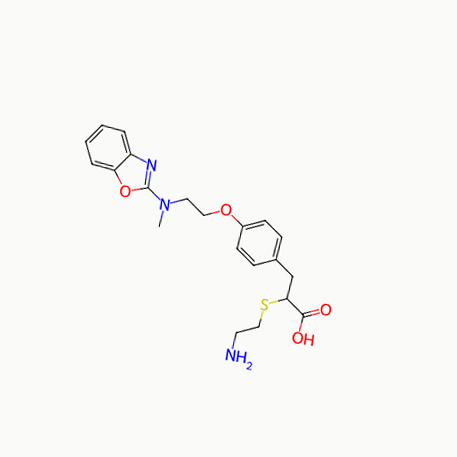 CN(CCOc1ccc(CC(SCCN)C(=O)O)cc1)c1nc2ccccc2o1